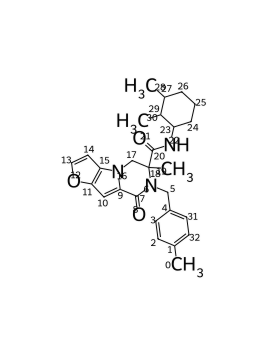 Cc1ccc(CN2C(=O)c3cc4occc4n3CC2(C)C(=O)NC2CCCC(C)C2C)cc1